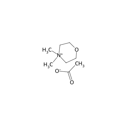 CC(=O)[O-].C[N+]1(C)CCOCC1